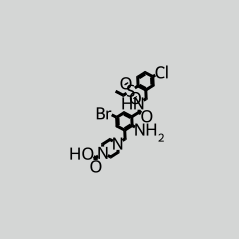 CCS(=O)(=O)c1ccc(Cl)cc1CNC(=O)c1cc(Br)cc(CN2CCN(C(=O)O)CC2)c1N